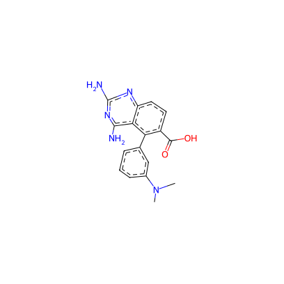 CN(C)c1cccc(-c2c(C(=O)O)ccc3nc(N)nc(N)c23)c1